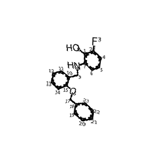 Oc1c(F)cccc1NCc1ccccc1OCc1ccccc1